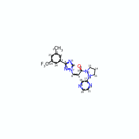 Cc1cc(-c2ncn(/C=C\C(=O)N3CCCN3c3cnccn3)n2)cc(C(F)(F)F)c1